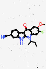 CCC(C)n1c2cc(F)c(OC)cc2c(=O)c2c3ccc(C#N)cc3[nH]c21